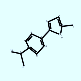 Cc1ccc(-c2ccc(C(C)C)cc2)s1